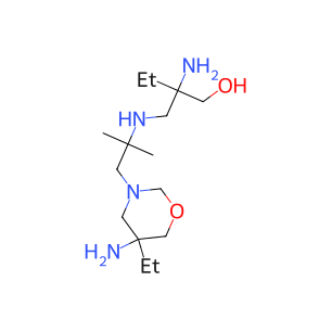 CCC(N)(CO)CNC(C)(C)CN1COCC(N)(CC)C1